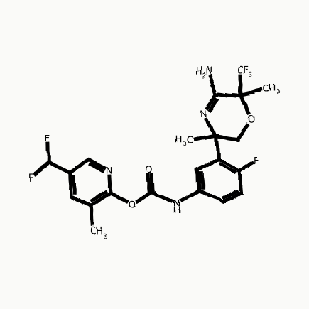 Cc1cc(C(F)F)cnc1OC(=O)Nc1ccc(F)c(C2(C)COC(C)(C(F)(F)F)C(N)=N2)c1